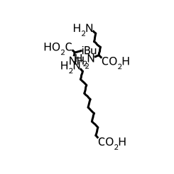 CCC(C)C(N)C(=O)O.NCCCC(N)C(=O)O.NCCCCCCCCCCC(=O)O